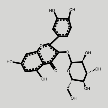 O=c1c(OC2O[C@@H](CO)[C@H](O)[C@@H](O)[C@@H]2O)c(-c2ccc(O)c(O)c2)oc2cc(O)cc(O)c12